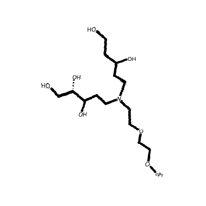 CCCOCCOCCN(CCC(O)CCO)CCC(O)[C@@H](O)CO